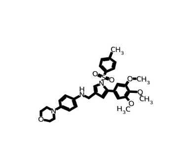 COc1cc(-c2cc(CNc3ccc(N4CCOCC4)cc3)cn2S(=O)(=O)c2ccc(C)cc2)cc(OC)c1OC